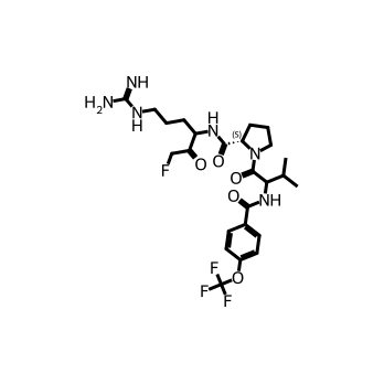 CC(C)C(NC(=O)c1ccc(OC(F)(F)F)cc1)C(=O)N1CCC[C@H]1C(=O)NC(CCCNC(=N)N)C(=O)CF